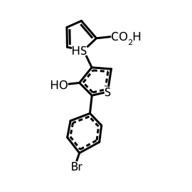 O=C(O)C1=CC=C[SH]1c1csc(-c2ccc(Br)cc2)c1O